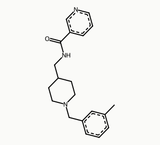 Cc1cccc(CN2CCC(CNC(=O)c3cccnc3)CC2)c1